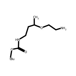 CC(CCNC(=O)OC(C)(C)C)OCCN